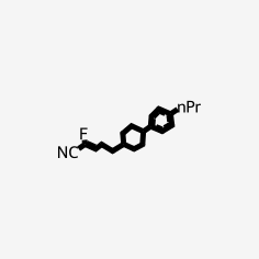 CCCc1ccc(C2CCC(CCC=C(F)C#N)CC2)cc1